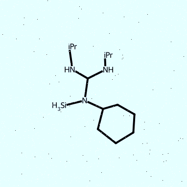 CC(C)NC(NC(C)C)N([SiH3])C1CCCCC1